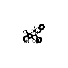 O=C(O)N(Cc1ccccc1)C(c1ccccc1)c1cc(Cl)c2cccnc2c1O